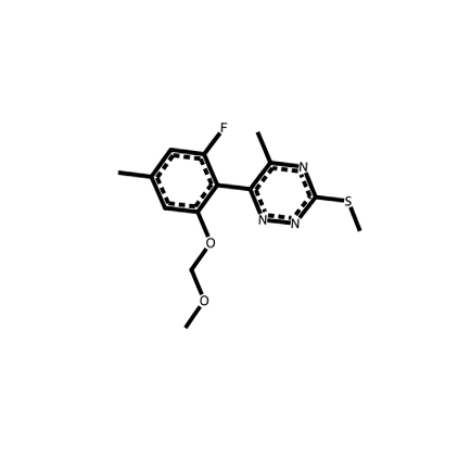 COCOc1cc(C)cc(F)c1-c1nnc(SC)nc1C